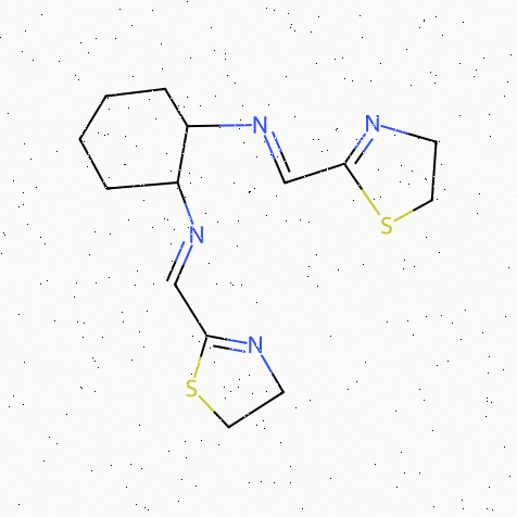 C(=NC1CCCCC1N=CC1=NCCS1)C1=NCCS1